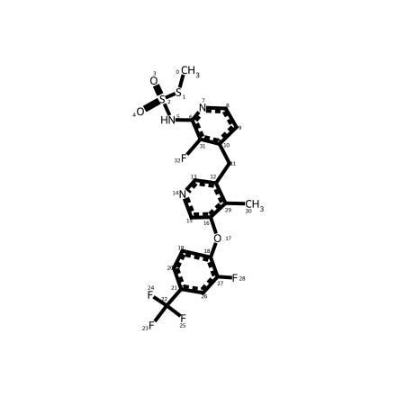 CSS(=O)(=O)Nc1nccc(Cc2cncc(Oc3ccc(C(F)(F)F)cc3F)c2C)c1F